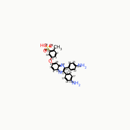 Cc1ccc(Oc2ccc3nc(-c4ccc(N)cc4)c(-c4ccc(N)cc4)nc3c2)cc1S(=O)(=O)O